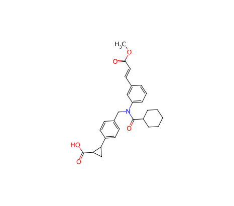 COC(=O)C=Cc1cccc(N(Cc2ccc(C3CC3C(=O)O)cc2)C(=O)C2CCCCC2)c1